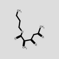 C=C(C(=O)CC(C)=O)C(=O)OCCCC